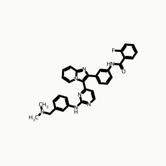 CN(C)Cc1cccc(Nc2nccc(-c3c(-c4cccc(NC(=O)c5ccccc5F)c4)nc4ccccn34)n2)c1